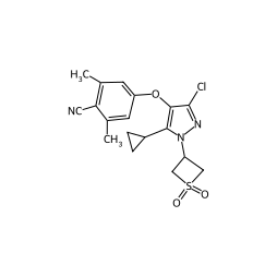 Cc1cc(Oc2c(Cl)nn(C3CS(=O)(=O)C3)c2C2CC2)cc(C)c1C#N